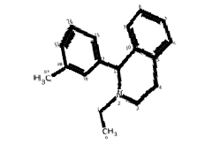 CCN1CCc2ccccc2C1c1cccc(C)c1